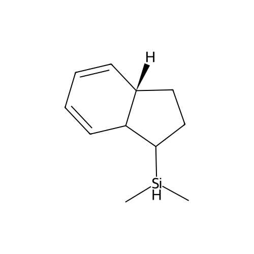 C[SiH](C)C1CC[C@H]2C=CC=CC12